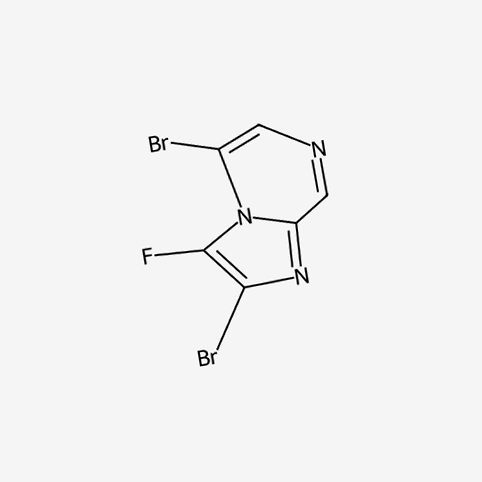 Fc1c(Br)nc2cncc(Br)n12